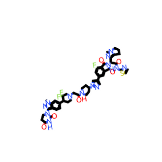 Cn1nc(N2CCC(=O)NC2=O)c2ccc(C3CCN(CC(O)N4CCC(n5cc(-c6cc(F)c7c(c6)C(=O)N(C(C(=O)Nc6nccs6)c6ncn8c6CCC8)C7=O)cn5)CC4)CC3(F)F)cc21